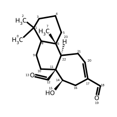 CC1(C)CCC[C@@]2(C)C1CC[C@@]1(C=O)[C@H](O)CC(C=O)=CC[C@@H]12